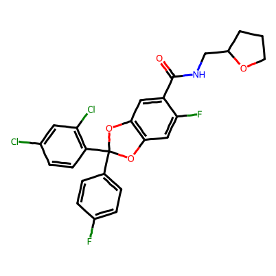 O=C(NCC1CCCO1)c1cc2c(cc1F)OC(c1ccc(F)cc1)(c1ccc(Cl)cc1Cl)O2